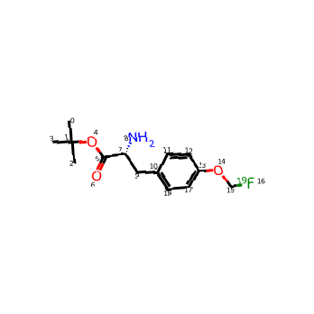 CC(C)(C)OC(=O)[C@H](N)Cc1ccc(OC[19F])cc1